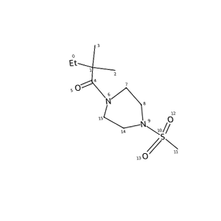 CCC(C)(C)C(=O)N1CCN(S(C)(=O)=O)CC1